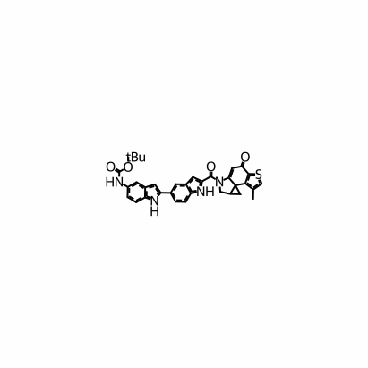 Cc1csc2c1C13CC1CN(C(=O)c1cc4cc(-c5cc6cc(NC(=O)OC(C)(C)C)ccc6[nH]5)ccc4[nH]1)C3=CC2=O